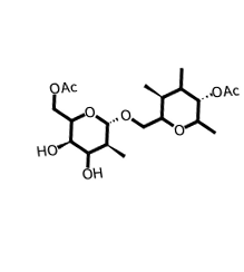 CC(=O)OCC1O[C@H](OCC2OC(C)[C@@H](OC(C)=O)C(C)[C@@H]2C)[C@@H](C)C(O)[C@H]1O